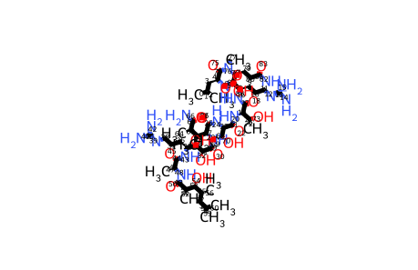 CC(C)C[C@H](NC(=O)[C@@H](CCCN=C(N)N)NC(=O)[C@H](NC(=O)[C@H](NC(=O)[C@@H](NC(=O)[C@H](O)[C@H](O)[C@H](CCCN=C(N)N)NC(=O)[C@@H](C)NC(=O)[C@H](C)[C@H](O)[C@H](C)CC(C)C)[C@@H](C)[C@@H](C)C(N)=O)[C@@H](C)O)[C@@H](C)O)C(=O)N(C)[C@@H](CCC(N)=O)C(=O)O